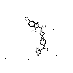 O=C(c1cscn1)N1CCN(C2CN(C(=O)c3sc4cc(Cl)ccc4c3C(F)(F)F)C2)CC1